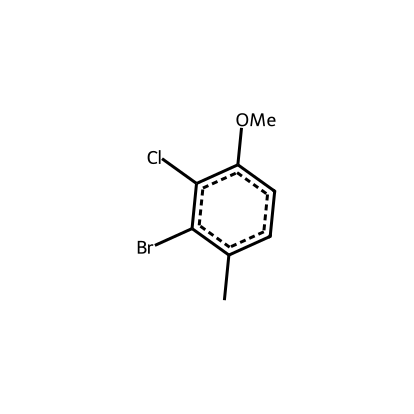 COc1ccc(C)c(Br)c1Cl